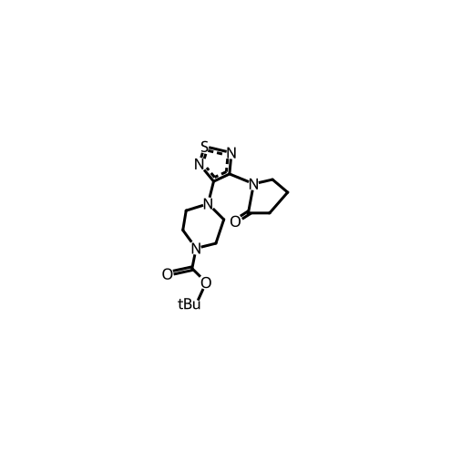 CC(C)(C)OC(=O)N1CCN(c2nsnc2N2CCCC2=O)CC1